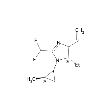 C=CC1N=C(C(F)F)N(C2C[C@H]2C)[C@H]1CC